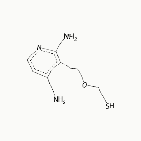 Nc1ccnc(N)c1COCS